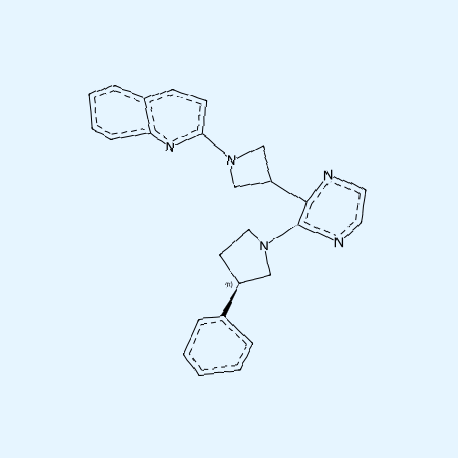 c1ccc([C@H]2CCN(c3nccnc3C3CN(c4ccc5ccccc5n4)C3)C2)cc1